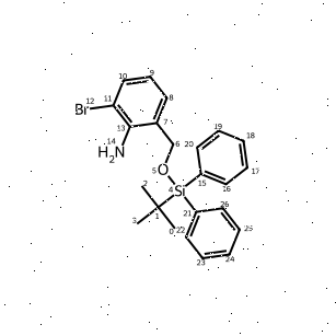 CC(C)(C)[Si](OCc1cccc(Br)c1N)(c1ccccc1)c1ccccc1